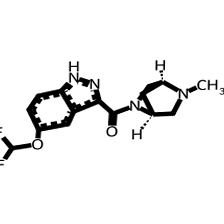 CN1C[C@@H]2C[C@H]1CN2C(=O)c1n[nH]c2ccc(OC(F)F)cc12